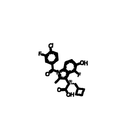 Cc1c([C@H](CC2CCC2)C(=O)O)c2c(F)c(O)ccc2n1C(=O)c1ccc(Cl)c(F)c1